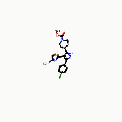 CC(C)(C)OC(=O)N1CCC(c2[nH]nc(-c3ccc(F)cc3)c2-c2nc(C(=O)O)cs2)CC1